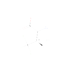 C[C@H](C(N)C(=O)O)C(F)(F)F.Cl